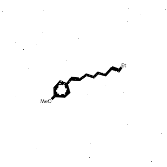 CCC=CCCCCC=Cc1ccc(OC)cc1